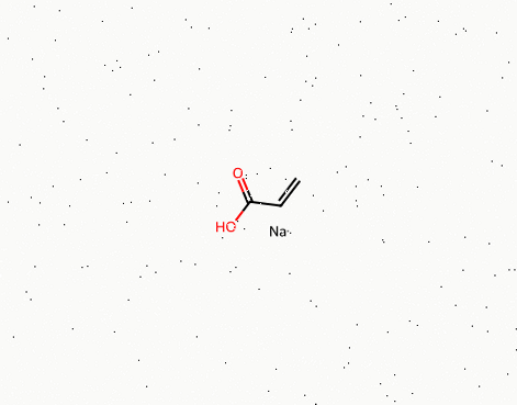 C=CC(=O)O.[Na]